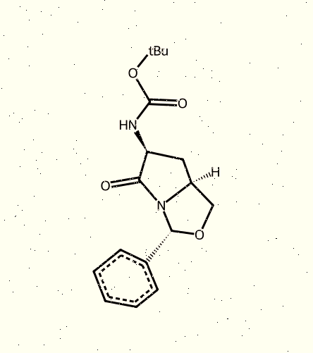 CC(C)(C)OC(=O)N[C@H]1C[C@H]2CO[C@H](c3ccccc3)N2C1=O